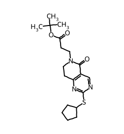 CC(C)(C)OC(=O)CCN1CCc2nc(SC3CCCC3)ncc2C1=O